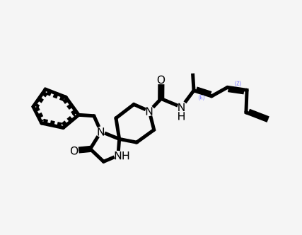 C=C/C=C\C=C(/C)NC(=O)N1CCC2(CC1)NCC(=O)N2Cc1ccccc1